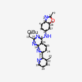 Cc1nc2ccc(Nc3nc(COCC(C)C)nc4nc(-c5ncccc5C)ccc34)cc2o1